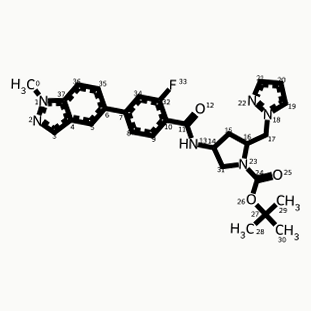 Cn1ncc2cc(-c3ccc(C(=O)NC4CC(Cn5cccn5)N(C(=O)OC(C)(C)C)C4)c(F)c3)ccc21